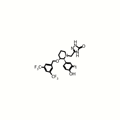 O=c1[nH]nc(CN2CCC[C@H](OCc3cc(C(F)(F)F)cc(C(F)(F)F)c3)[C@@H]2c2ccc(O)c([125I])c2)[nH]1